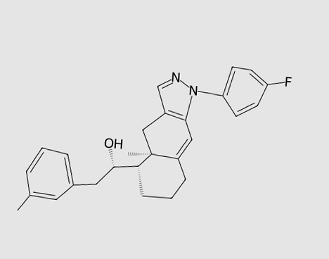 Cc1cccc(C[C@H](O)[C@H]2CCCC3=Cc4c(cnn4-c4ccc(F)cc4)C[C@@]32C)c1